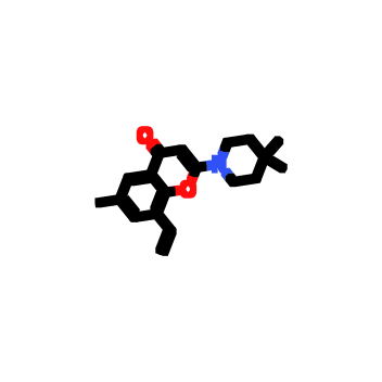 C=Cc1cc(C)cc2c(=O)cc(N3CCC(C)(C)CC3)oc12